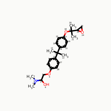 CN(C)C(O)COc1ccc(C(C)(C)c2ccc(OC(C)(C)C3CO3)cc2)cc1